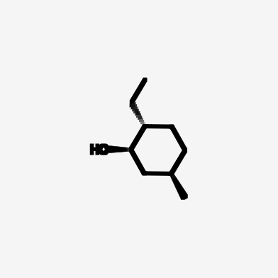 CC[C@@H]1CC[C@@H](C)C[C@H]1O